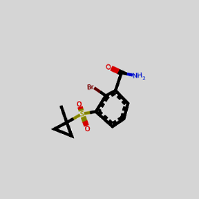 CC1(S(=O)(=O)c2cccc(C(N)=O)c2Br)CC1